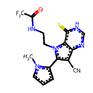 Cn1cccc1-c1c(C#N)c2nc[nH]c(=S)c2n1CCNC(=O)C(F)(F)F